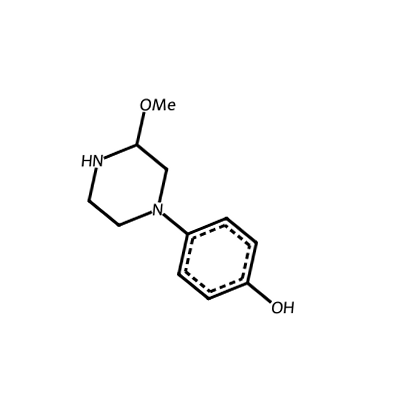 COC1CN(c2ccc(O)cc2)CCN1